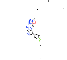 Cc1nnc(Cn2ncc3ncc(-c4ccc(F)c(C)c4)cc32)o1